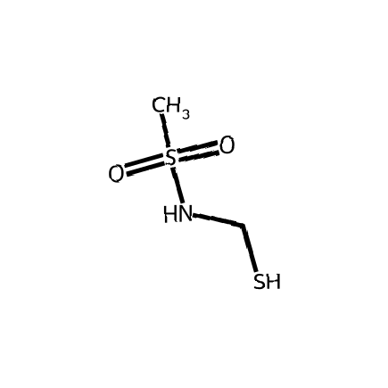 CS(=O)(=O)NCS